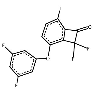 O=C1c2c(I)ccc(Oc3cc(F)cc(F)c3)c2C1(F)F